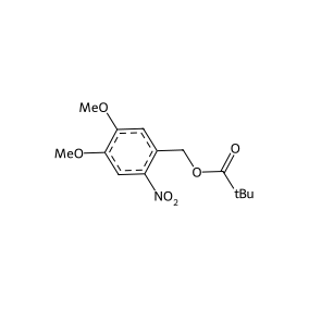 COc1cc(COC(=O)C(C)(C)C)c([N+](=O)[O-])cc1OC